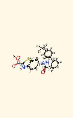 COC(=O)c1nc2ccc(NC(=O)c3ccccc3-c3ccc(C(C)(C)C)cc3)cc2s1